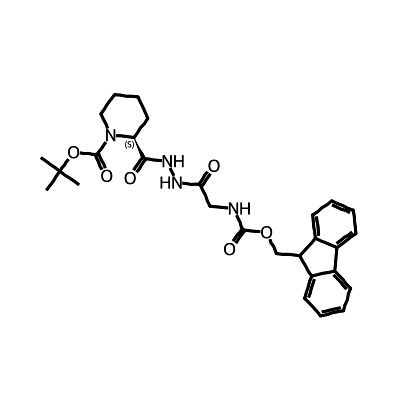 CC(C)(C)OC(=O)N1CCCC[C@H]1C(=O)NNC(=O)CNC(=O)OCC1c2ccccc2-c2ccccc21